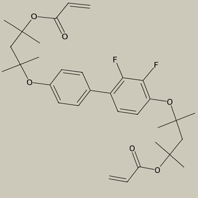 C=CC(=O)OC(C)(C)CC(C)(C)Oc1ccc(-c2ccc(OC(C)(C)CC(C)(C)OC(=O)C=C)c(F)c2F)cc1